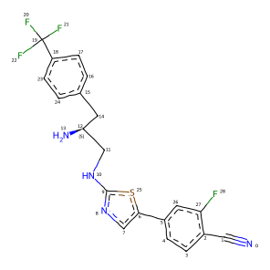 N#Cc1ccc(-c2cnc(NC[C@@H](N)Cc3ccc(C(F)(F)F)cc3)s2)cc1F